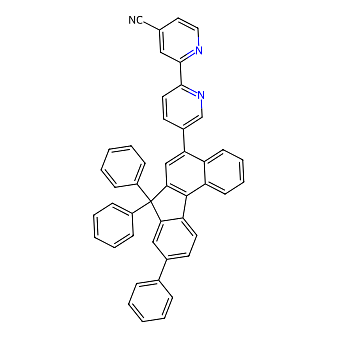 N#Cc1ccnc(-c2ccc(-c3cc4c(c5ccccc35)-c3ccc(-c5ccccc5)cc3C4(c3ccccc3)c3ccccc3)cn2)c1